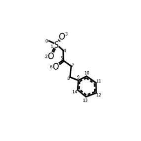 CS(=O)(=O)CC(=O)CCc1ccccc1